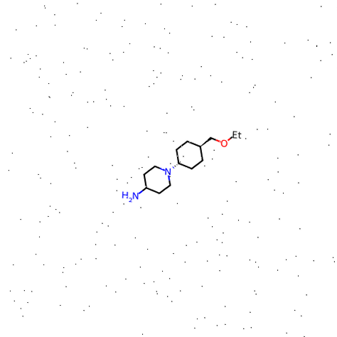 CCOC[C@H]1CC[C@H](N2CCC(N)CC2)CC1